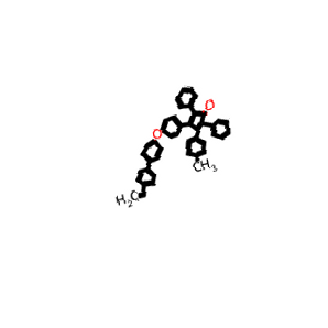 C=Cc1ccc(-c2ccc(Oc3ccc(C4=C(c5ccccc5)C(=O)C(c5ccccc5)=C4c4ccc(C)cc4)cc3)cc2)cc1